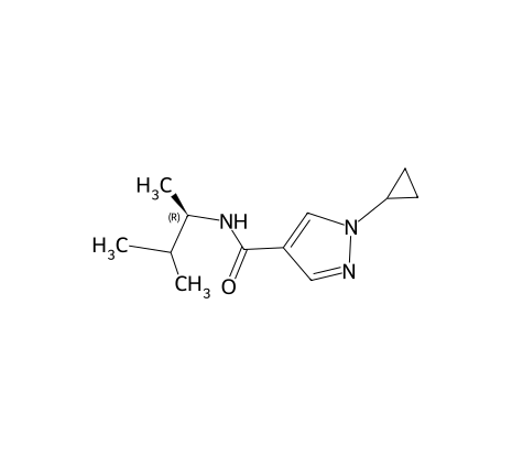 CC(C)[C@@H](C)NC(=O)c1cnn(C2CC2)c1